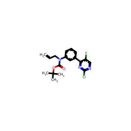 C=CCN(C(=O)OC(C)(C)C)c1cccc(-c2nc(Cl)ncc2F)c1